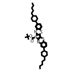 CCCCCC1CCC(c2ccc3c(c2)N=c2c(c4c(n2C(=O)OC(C)(C)C)=Nc2cc(C5CCC(CCCCC)CC5)ccc2S4)S3)CC1